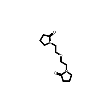 O=C1CCCN1CCOCCN1CCCC1=O